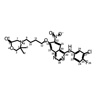 CC1(C)COC(=O)CN1CCCCOc1cc2ncnc(Nc3ccc(F)c(Cl)c3)c2cc1[N+](=O)[O-]